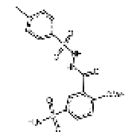 COc1ccc(S(N)(=O)=O)cc1C(=O)NNS(=O)(=O)c1ccc(C)cc1